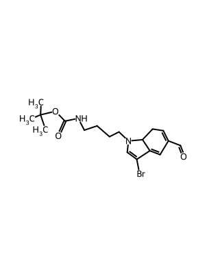 CC(C)(C)OC(=O)NCCCCN1C=C(Br)C2=CC(C=O)=CCC21